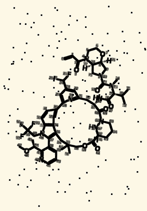 C=CC(=O)N1CCO[C@H]2CN(C(=O)N(C)[C@H](C(=O)N[C@H]3Cc4cc(C(F)F)cc(n4)-c4ccc5c(c4)c(c(-c4cccnc4[C@H](C)OC)n5CC(F)(F)F)CC(C)(C)COC(=O)[C@@H]4CCCN(N4)C3=O)C(C)C)C[C@H]21